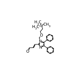 C[Si](C)(C)CCOCn1c(C=CC=O)nc(-c2ccccc2)c1-c1ccccc1